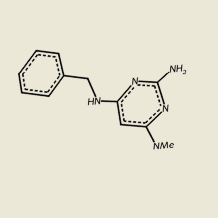 CNc1cc(NCc2ccccc2)nc(N)n1